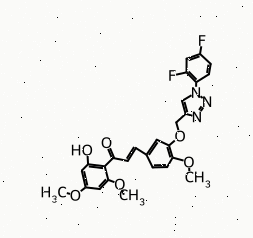 COc1cc(O)c(C(=O)/C=C/c2ccc(OC)c(OCc3cn(-c4ccc(F)cc4F)nn3)c2)c(OC)c1